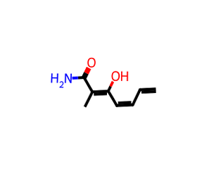 C=C/C=C\C(O)=C(/C)C(N)=O